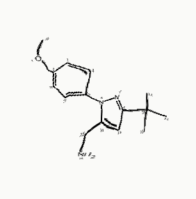 COc1ccc(-n2nc(C(C)(C)C)cc2CN)cc1